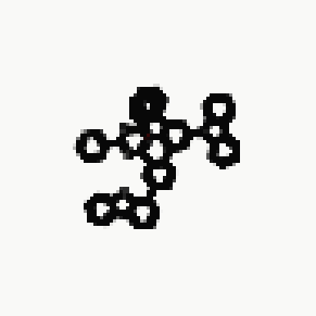 c1ccc(-c2nc(-c3ccccc3)nc(-c3cc(-c4cccc5c4oc4ccccc45)ccc3-c3cc(-n4c5ccccc5c5ccccc54)cc4c3oc3ccccc34)n2)cc1